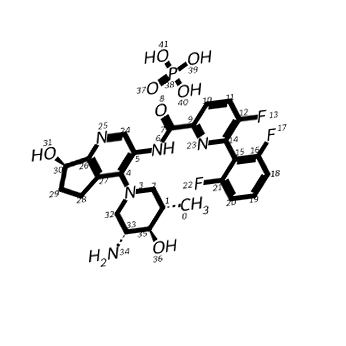 C[C@H]1CN(c2c(NC(=O)c3ccc(F)c(-c4c(F)cccc4F)n3)cnc3c2CC[C@H]3O)C[C@@H](N)[C@@H]1O.O=P(O)(O)O